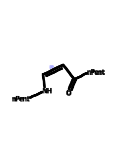 CCCCCN/C=C\C(=O)CCCCC